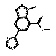 COC(=O)c1cc(-c2cncs2)cc2ccn(C)c12